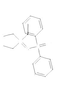 CCP(CC)(CC)=NP(=O)(c1ccccc1)c1ccccc1